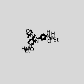 CCNC(=O)Nc1ccc(-c2nc3c(c(N4CCOCC4C)n2)CCN(C(=O)NCC)C3)cc1